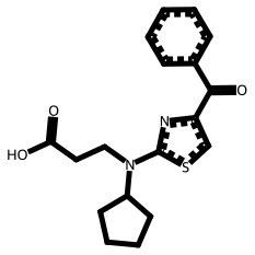 O=C(O)CCN(c1nc(C(=O)c2ccccc2)cs1)C1CCCC1